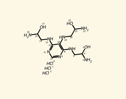 Cl.Cl.Cl.NC(O)CNc1ncnc(NCC(N)O)c1NCC(N)O